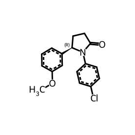 COc1cccc([C@H]2CCC(=O)N2c2ccc(Cl)cc2)c1